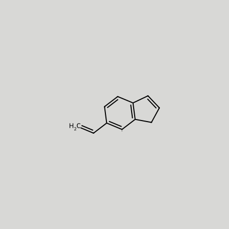 C=Cc1[c]c2c(cc1)C=CC2